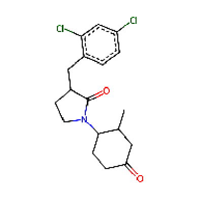 CC1CC(=O)CCC1N1CCC(Cc2ccc(Cl)cc2Cl)C1=O